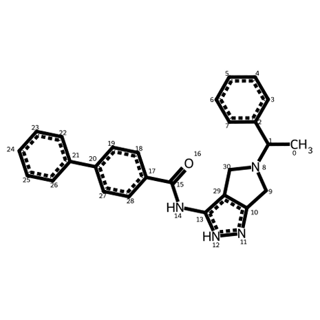 CC(c1ccccc1)N1Cc2n[nH]c(NC(=O)c3ccc(-c4ccccc4)cc3)c2C1